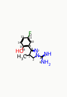 CC1CN(C(=N)N)N=C1c1cc(F)ccc1O